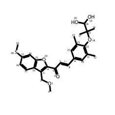 COCc1c(C(=O)/C=C/c2cc(C)c(OC(C)(C)C(O)O)c(C)c2)oc2cc(SC)ccc12